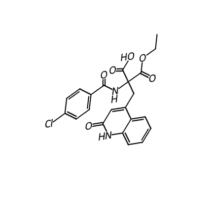 CCOC(=O)C(Cc1cc(=O)[nH]c2ccccc12)(NC(=O)c1ccc(Cl)cc1)C(=O)O